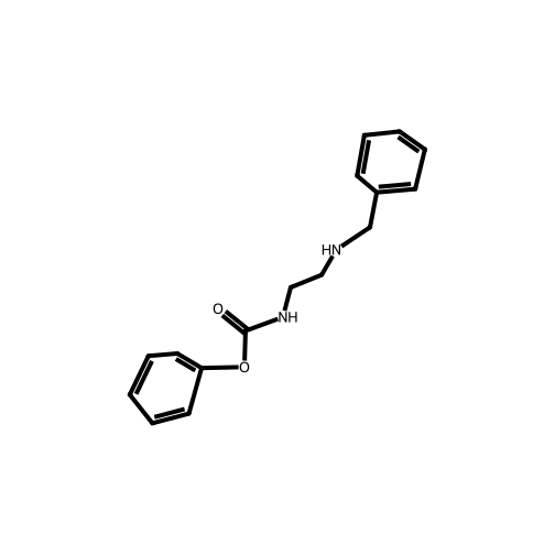 O=C(NCCNCc1ccccc1)Oc1ccccc1